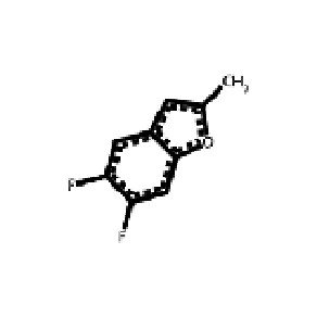 Cc1cc2cc(F)c(F)cc2o1